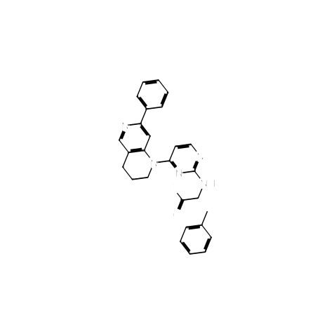 O=C(O)[C@@H](Cc1ccccc1)Nc1nccc(N2CCCc3cnc(-c4ccccc4)cc32)n1